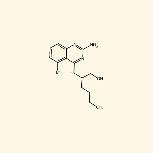 CCCC[C@H](CO)Nc1nc(N)nc2cccc(Br)c12